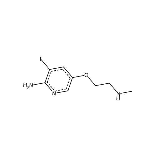 CNCCOc1cnc(N)c(I)c1